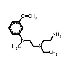 CCN(CCN)CCN(C)c1cccc(OC)c1